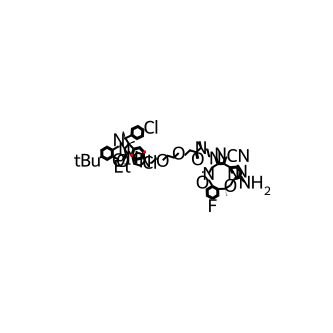 CCOc1cc(C(C)(C)C)ccc1C1=N[C@](C)(c2ccc(Cl)cc2)[C@](C)(c2ccc(Cl)cc2)N1C(=O)N1CCN(CCOCCOCCC(=O)N(C)CCn2nc(C#N)c3c2CN(C)C(=O)c2ccc(F)cc2[C@@H](C)Oc2nc-3cnc2N)CC1